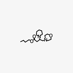 CCCCOC(=O)CC(CN1CCOCC1)N1CCCCC1